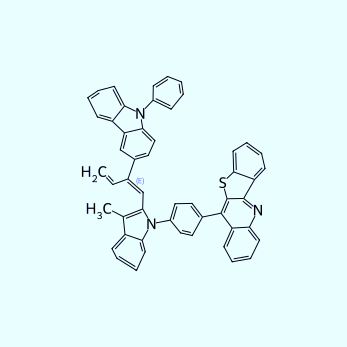 C=C/C(=C\c1c(C)c2ccccc2n1-c1ccc(-c2c3ccccc3nc3c2sc2ccccc23)cc1)c1ccc2c(c1)c1ccccc1n2-c1ccccc1